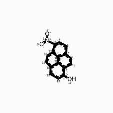 O=[N+]([O-])c1ccc2ccc3c(O)ccc4ccc1c2c43